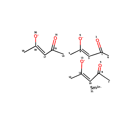 CC(=O)/C=C(/C)[O-].CC(=O)/C=C(/C)[O-].CC(=O)/C=C(/C)[O-].[Sm+3]